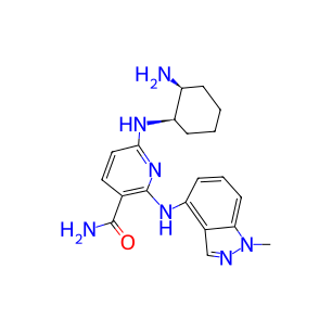 Cn1ncc2c(Nc3nc(N[C@@H]4CCCC[C@@H]4N)ccc3C(N)=O)cccc21